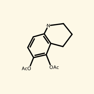 CC(=O)Oc1ccc2c(c1OC(C)=O)CCC[N]2